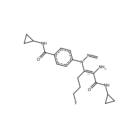 C=NN(/C(CCCF)=C(\N)C(=O)NC1CC1)c1ccc(C(=O)NC2CC2)cc1